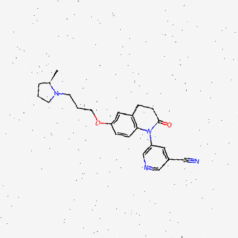 C[C@@H]1CCCN1CCCOc1ccc2c(c1)CCC(=O)N2c1cncc(C#N)c1